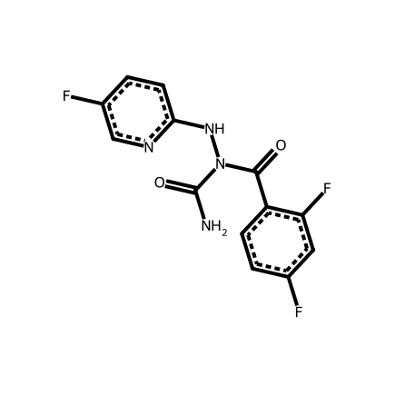 NC(=O)N(Nc1ccc(F)cn1)C(=O)c1ccc(F)cc1F